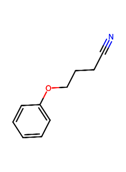 N#CCCCOc1ccccc1